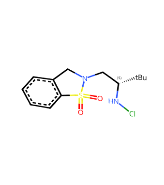 CC(C)(C)[C@@H](CN1Cc2ccccc2S1(=O)=O)NCl